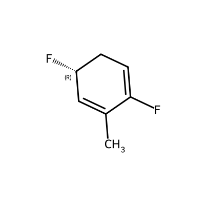 CC1=C[C@H](F)CC=C1F